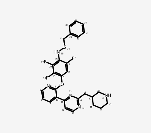 Fc1cc(Oc2ncccc2-c2ccnc(CC3CCCNC3)n2)c(F)c(F)c1NSCc1ccccc1